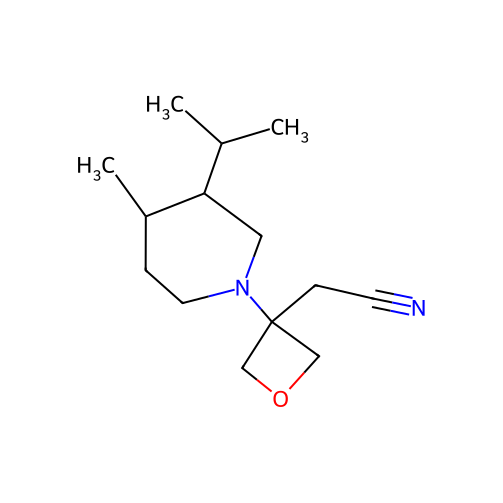 CC(C)C1CN(C2(CC#N)COC2)CCC1C